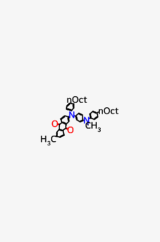 CCCCCCCCc1ccc(N(C)c2ccc(N(c3ccc(CCCCCCCC)cc3)c3ccc4c(c3)C(=O)c3ccc(C)cc3C4=O)cc2)cc1